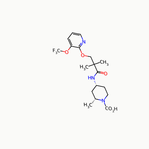 C[C@@H]1C[C@H](NC(=O)C(C)(C)COc2ncccc2OC(F)(F)F)CCN1C(=O)O